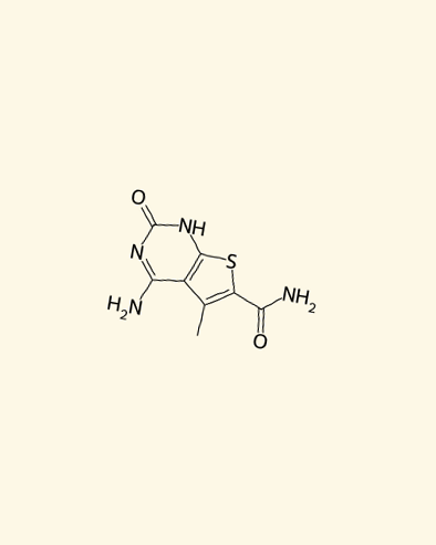 Cc1c(C(N)=O)sc2[nH]c(=O)nc(N)c12